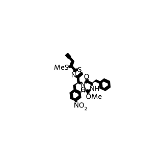 C#C/C=C(\SC)c1nc([C@H](Cc2ccc([N+](=O)[O-])cc2)NC(=O)[C@@H](Cc2ccccc2)NC(=O)OC)cs1